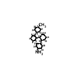 Cc1ccc(-c2ccccc2-c2ccccc2-c2ccc(N)cc2)cc1